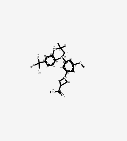 COc1cc(N2CC(C(=O)O)C2)cc(N2CC(C)(C)Oc3cc(C(F)(F)F)ccc32)c1